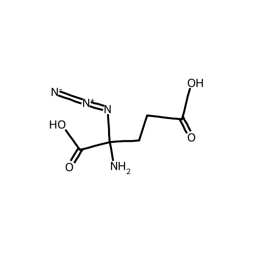 [N-]=[N+]=NC(N)(CCC(=O)O)C(=O)O